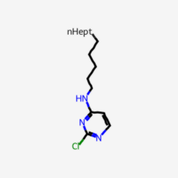 CCCCCCCCCCCCNc1ccnc(Cl)n1